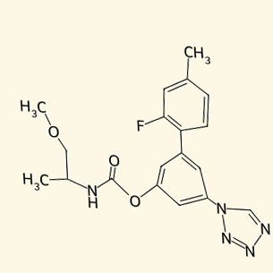 COCC(C)NC(=O)Oc1cc(-c2ccc(C)cc2F)cc(-n2cnnn2)c1